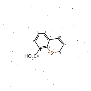 O=C(O)c1cccc2c1SCC=C2